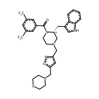 O=C(c1cc(C(F)(F)F)cc(C(F)(F)F)c1)N1CCN(Cc2cc(CN3CCOCC3)on2)C[C@H]1Cc1c[nH]c2ccccc12